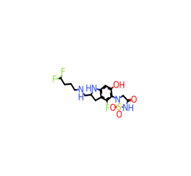 O=C1CN(c2c(O)cc3c(c2F)CC(CNCCCC(F)F)N3)S(=O)(=O)N1